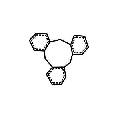 c1ccc2c(c1)Cc1ccccc1Cc1ccccc1C2